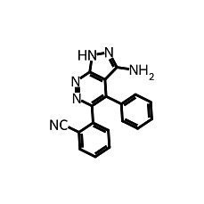 N#Cc1ccccc1-c1nnc2[nH]nc(N)c2c1-c1ccccc1